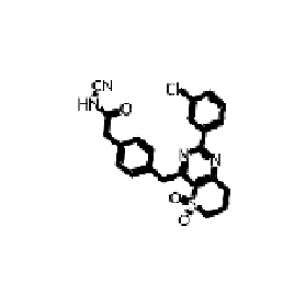 N#CNC(=O)Cc1ccc(Cc2nc(-c3cccc(Cl)c3)nc3c2S(=O)(=O)CCC3)cc1